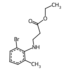 CCOC(=O)CCNc1c(C)cccc1Br